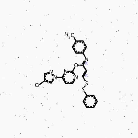 Cc1ccc(/N=C(/C=C/SSc2ccccc2)Oc2nccc(-n3cc(Cl)cn3)n2)cc1